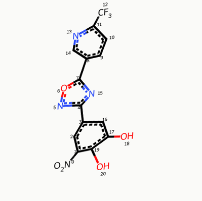 O=[N+]([O-])c1cc(-c2noc(-c3ccc(C(F)(F)F)nc3)n2)cc(O)c1O